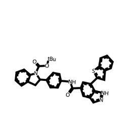 CC(C)(C)OC(=O)N1c2ccccc2CC1c1ccc(NC(=O)c2cc(-c3cc4ccccc4s3)c3[nH]ncc3c2)cc1